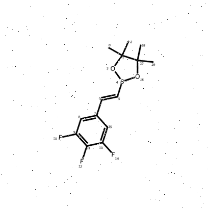 CC1(C)OB(/C=C/c2cc(F)c(F)c(F)c2)OC1(C)C